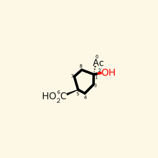 CC(=O)[C@]1(O)CC[C@@H](C(=O)O)CC1